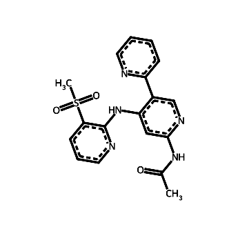 CC(=O)Nc1cc(Nc2ncccc2S(C)(=O)=O)c(-c2ccccn2)cn1